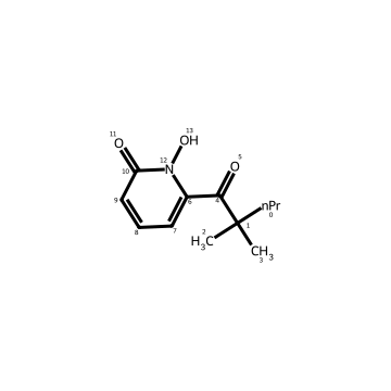 CCCC(C)(C)C(=O)c1cccc(=O)n1O